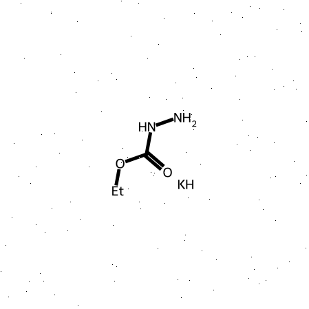 CCOC(=O)NN.[KH]